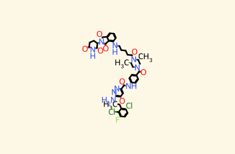 CC(Oc1cc(C(=O)Nc2ccc(C(=O)N3C[C@@H](C)N(C(=O)CCCCNc4cccc5c4C(=O)N(C4CCC(=O)NC4=O)C5=O)[C@@H](C)C3)cc2)nnc1N)c1c(Cl)ccc(F)c1Cl